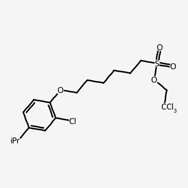 CC(C)c1ccc(OCCCCCCS(=O)(=O)OCC(Cl)(Cl)Cl)c(Cl)c1